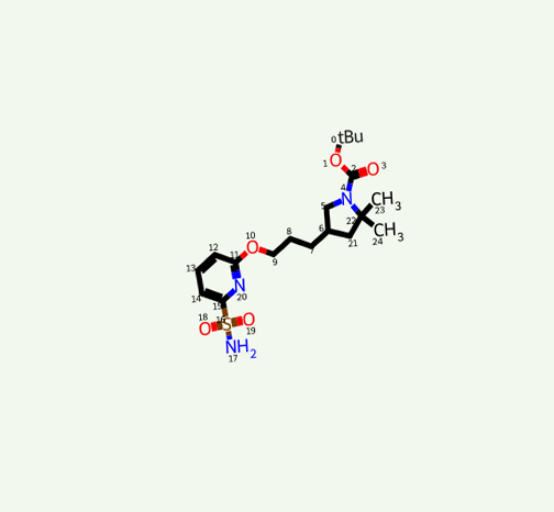 CC(C)(C)OC(=O)N1CC(CCCOc2cccc(S(N)(=O)=O)n2)CC1(C)C